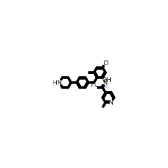 Cc1cc(/C(C[C@H](c2ccc(C3CCNCC3)cc2)c2ccc(Cl)cc2C)=N/O)ccn1